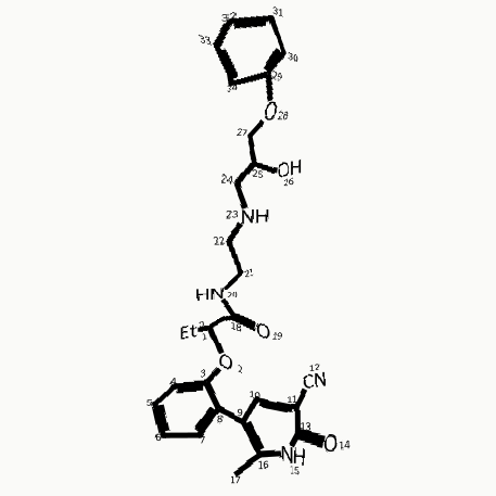 CCC(Oc1ccccc1-c1cc(C#N)c(=O)[nH]c1C)C(=O)NCCNCC(O)COc1ccccc1